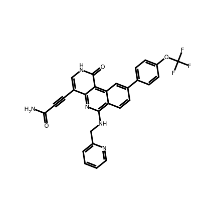 NC(=O)C#Cc1c[nH]c(=O)c2c1nc(NCc1ccccn1)c1ccc(-c3ccc(OC(F)(F)F)cc3)cc12